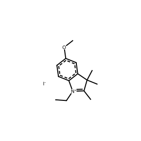 CC[N+]1=C(C)C(C)(C)c2cc(OC)ccc21.[I-]